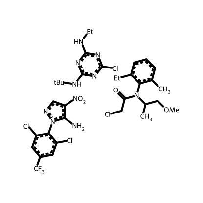 CCNc1nc(Cl)nc(NC(C)(C)C)n1.CCc1cccc(C)c1N(C(=O)CCl)C(C)COC.Nc1c([N+](=O)[O-])cnn1-c1c(Cl)cc(C(F)(F)F)cc1Cl